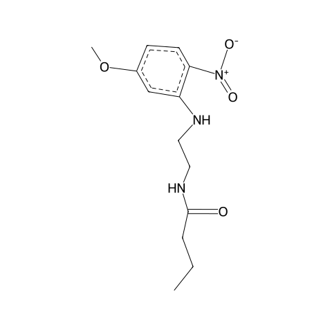 CCCC(=O)NCCNc1cc(OC)ccc1[N+](=O)[O-]